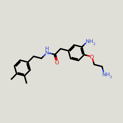 Cc1ccc(CCNC(=O)Cc2ccc(OCCN)c(N)c2)cc1C